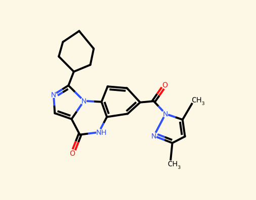 Cc1cc(C)n(C(=O)c2ccc3c(c2)[nH]c(=O)c2cnc(C4CCCCC4)n23)n1